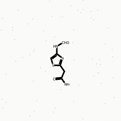 [NH]C(=O)Cc1nc(NC=O)cs1